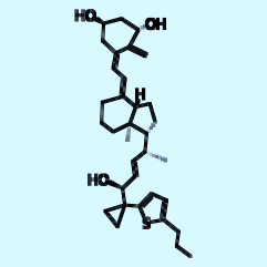 C=C1/C(=C\C=C2/CCC[C@]3(C)[C@@H]([C@H](C)/C=C/[C@H](O)C4(c5ccc(CCC)s5)CC4)CC[C@@H]23)C[C@@H](O)C[C@@H]1O